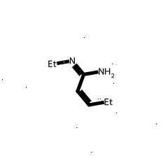 CC/C=C\C(N)=N/CC